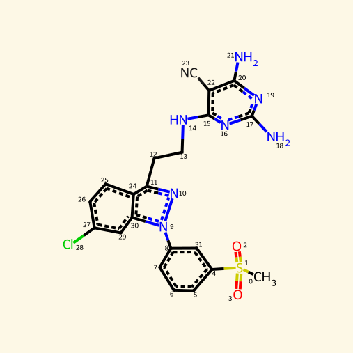 CS(=O)(=O)c1cccc(-n2nc(CCNc3nc(N)nc(N)c3C#N)c3ccc(Cl)cc32)c1